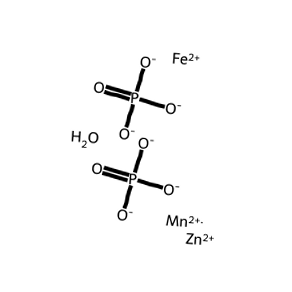 O.O=P([O-])([O-])[O-].O=P([O-])([O-])[O-].[Fe+2].[Mn+2].[Zn+2]